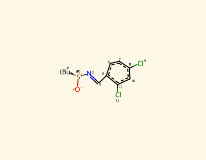 CC(C)(C)[S@+]([O-])N=Cc1ccc(Cl)cc1Cl